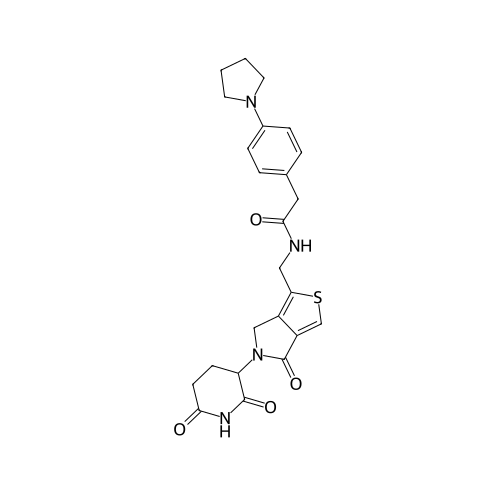 O=C(Cc1ccc(N2CCCC2)cc1)NCc1scc2c1CN(C1CCC(=O)NC1=O)C2=O